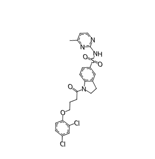 Cc1ccnc(NS(=O)(=O)c2ccc3c(c2)CCN3C(=O)CCCOc2ccc(Cl)cc2Cl)n1